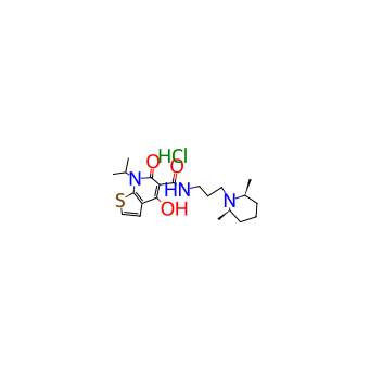 CC(C)n1c(=O)c(C(=O)NCCCN2[C@H](C)CCC[C@@H]2C)c(O)c2ccsc21.Cl